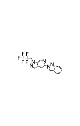 FC(F)(F)C(F)(F)Cn1ncc2cc(-n3cc4ccccc4n3)ncc21